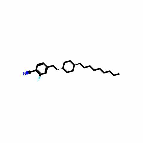 CCCCCCCCC[C@H]1CC[C@H](CCc2ccc(C#N)c(F)c2)CC1